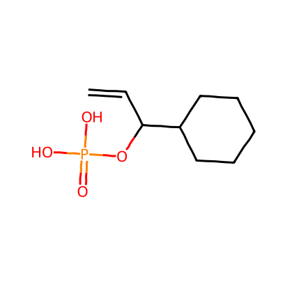 C=CC(OP(=O)(O)O)C1CCCCC1